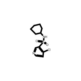 O=S(=O)(NC1CCCCC1)c1cnccc1Cl